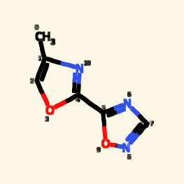 Cc1coc(-c2n[c]no2)n1